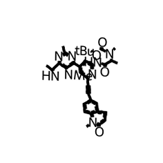 CNc1c(C(C)=N)nc(C)nc1-c1cc(C#Cc2ccc3c(ccc(=O)n3C)c2)nc(NC(=O)C(C)N(C)C(=O)OC(C)(C)C)c1